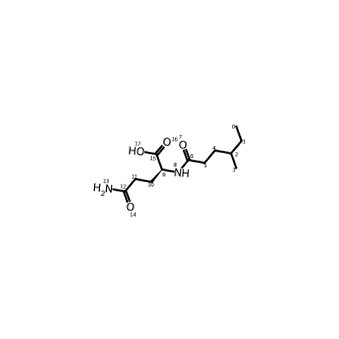 CCC(C)CCC(=O)N[C@@H](CCC(N)=O)C(=O)O